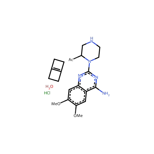 C1CC2=C1CC2.COc1cc2nc(N3CCNCC3C(C)=O)nc(N)c2cc1OC.Cl.O